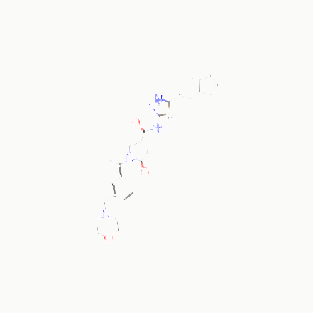 C=C/C(=C\C=C(/C)N1CC(C(=O)Nc2nnc(CCC3CCCC3)s2)CC1=O)CN1CCOCC1